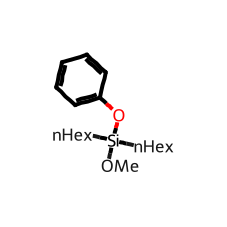 CCCCCC[Si](CCCCCC)(OC)Oc1ccccc1